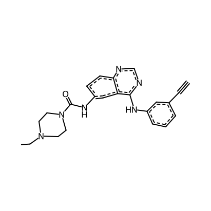 C#Cc1cccc(Nc2ncnc3ccc(NC(=O)N4CCN(CC)CC4)cc23)c1